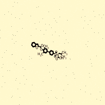 Cc1cc(-c2ccc(S(=O)(=O)N(CC(C)C)C(=O)O)cc2)cc(C)c1OC(=O)c1cc2ccccc2o1